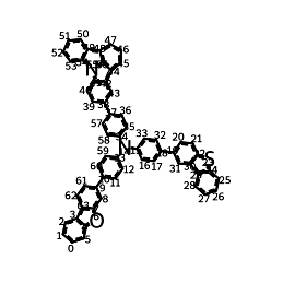 c1ccc2c(c1)oc1cc(-c3ccc(N(c4ccc(-c5ccc6sc7ccccc7c6c5)cc4)c4ccc(-c5ccc6c(c5)c5cccc7c8ccccc8n6c75)cc4)cc3)ccc12